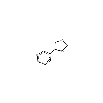 c1cncc(C2COCO2)c1